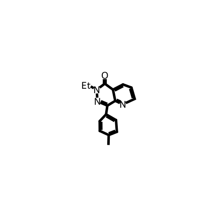 CCn1nc(-c2ccc(C)cc2)c2ncccc2c1=O